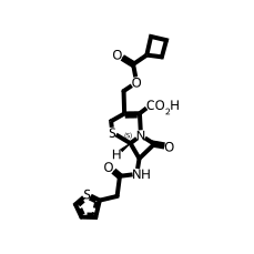 O=C(Cc1cccs1)NC1C(=O)N2C(C(=O)O)=C(COC(=O)C3CCC3)CS[C@@H]12